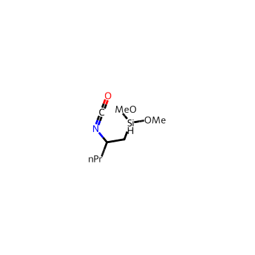 CCCC(C[SiH](OC)OC)N=C=O